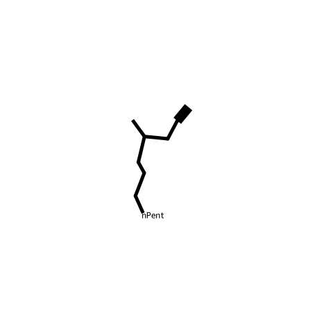 C#CCC(C)CCCCCCCC